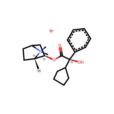 C[N+]1(C)C2CC[C@H]1[C@H](OC(=O)[C@](O)(c1ccccc1)C1CCCC1)C2.[Br-]